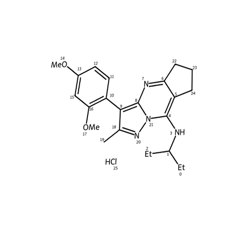 CCC(CC)Nc1c2c(nc3c(-c4ccc(OC)cc4OC)c(C)nn13)CCC2.Cl